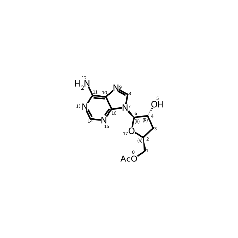 CC(=O)OC[C@@H]1C[C@@H](O)[C@H](n2cnc3c(N)ncnc32)O1